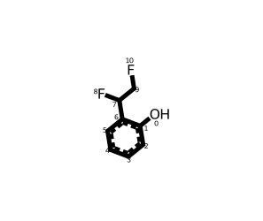 Oc1ccccc1C(F)CF